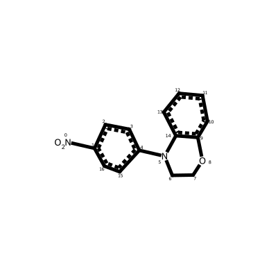 O=[N+]([O-])c1ccc(N2CCOc3ccccc32)cc1